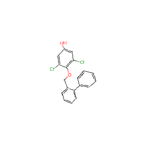 Oc1cc(Cl)c(OCc2ccccc2-c2ccccc2)c(Cl)c1